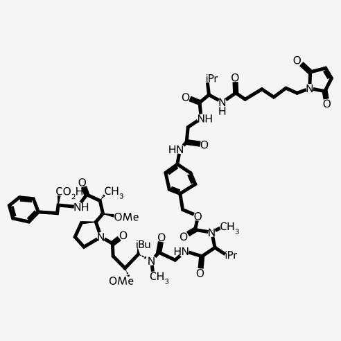 CC[C@H](C)[C@@H]([C@@H](CC(=O)N1CCC[C@H]1[C@H](OC)[C@@H](C)C(=O)N[C@@H](Cc1ccccc1)C(=O)O)OC)N(C)C(=O)CNC(=O)C(C(C)C)N(C)C(=O)OCc1ccc(NC(=O)CNC(=O)C(NC(=O)CCCCCN2C(=O)C=CC2=O)C(C)C)cc1